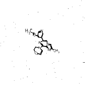 COc1cncc(-c2cn3cc(C)nc3c(N3CCOCC3)n2)c1